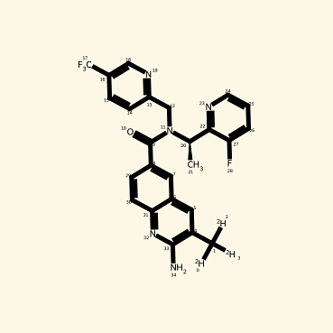 [2H]C([2H])([2H])c1cc2cc(C(=O)N(Cc3ccc(C(F)(F)F)cn3)[C@H](C)c3ncccc3F)ccc2nc1N